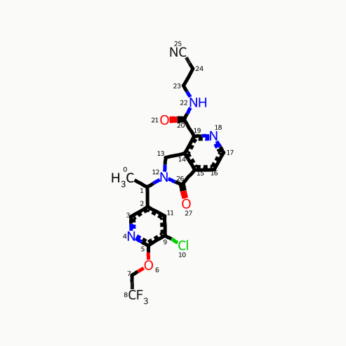 CC(c1cnc(OCC(F)(F)F)c(Cl)c1)N1Cc2c(ccnc2C(=O)NCCC#N)C1=O